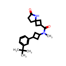 CN(C(=O)C1CC2(CCC(=O)N2)C1)C1CC(c2cccc(C(C)(C)C)c2)C1